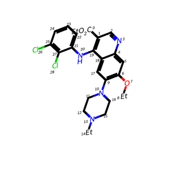 CCOC(=O)c1cnc2cc(OCC)c(N3CCN(CC)CC3)cc2c1Nc1cccc(Cl)c1Cl